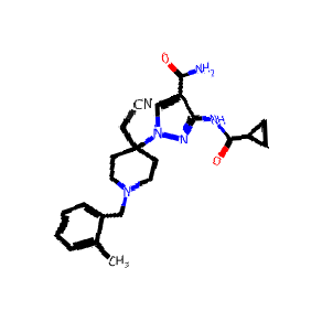 Cc1ccccc1CN1CCC(CC#N)(n2cc(C(N)=O)c(NC(=O)C3CC3)n2)CC1